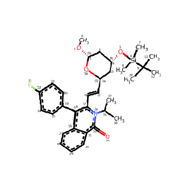 CO[C@@H]1C[C@H](O[Si](C)(C)C(C)(C)C)C[C@@H](C=Cc2c(-c3ccc(F)cc3)c3ccccc3c(=O)n2C(C)C)O1